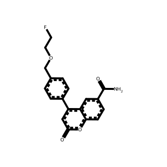 NC(=O)c1ccc2oc(=O)cc(-c3ccc(COCCF)cc3)c2c1